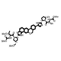 CC[C@H]1CC[C@@H](c2ncc(-c3ccc4c(c3)COc3cc5c(ccc6nc([C@@H]7C[C@H](COC)CN7C(=O)[C@@H](NC(=O)OC)[C@@H](C)OC)[nH]c65)cc3-4)[nH]2)N1C(=O)[C@@H](NC(=O)OC)C(C)C